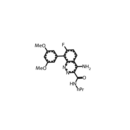 CCCNC(=O)c1nnc2c(-c3cc(OC)cc(OC)c3)c(F)ccc2c1N